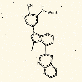 CCCCCNc1cc(-n2cc(C)c3c(-c4cnc5ccccc5c4)ccnc32)ccc1C#N